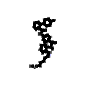 Cc1ccc(-c2ccccc2C(=O)Nc2ccc(C(=O)N(C)c3ccccc3/C=C\CCCCC(=O)O)cc2)cc1